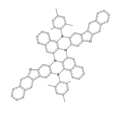 Cc1cc(C)c(B2c3cc4c(cc3N3c5cc6ccccc6c6c5N(c5cc7oc8cc9ccccc9cc8c7cc5B6c5c(C)cc(C)cc5C)c5cc6ccccc6c2c53)oc2cc3ccccc3cc24)c(C)c1